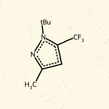 Cc1cc(C(F)(F)F)n(C(C)(C)C)n1